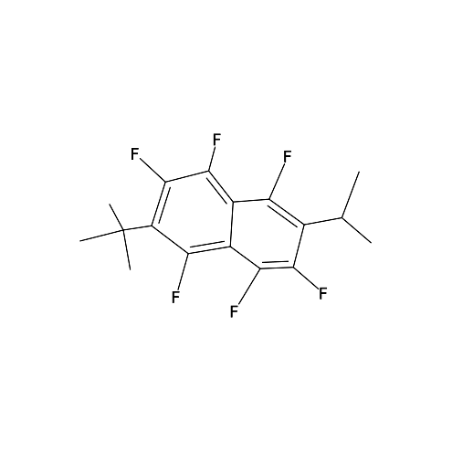 CC(C)c1c(F)c(F)c2c(F)c(C(C)(C)C)c(F)c(F)c2c1F